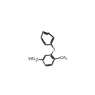 Cc1ccc(C(=O)O)cc1Sc1ccccc1